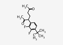 CC(=O)CCC(C(C)=O)c1ccc(C(C)(C)C)c(F)c1F